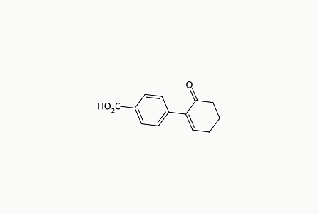 O=C1CCCC=C1c1ccc(C(=O)O)cc1